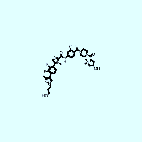 Cc1nn(CCCO)cc1-c1ccc(-c2cnc(C(=O)Nc3ccc(C(=O)N4CCN(C(=O)[C@@H]5C[C@@H](O)C[N+]5(C)C)CC4)c(Cl)c3)n2C)c(F)c1F